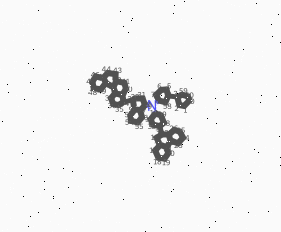 c1ccc(-c2cccc(N(c3ccc(-c4cc5ccccc5c5ccccc45)cc3)c3ccc(-c4cccc5c4ccc4ccc6ccccc6c45)c4ccccc34)c2)cc1